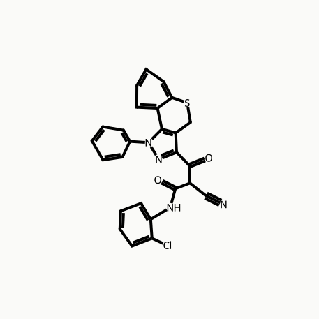 N#CC(C(=O)Nc1ccccc1Cl)C(=O)c1nn(-c2ccccc2)c2c1CSc1ccccc1-2